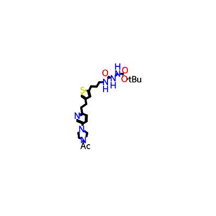 CC(=O)N1CCN(c2ccc(CCc3csc(CCCNC(=O)NNC(=O)OC(C)(C)C)c3)nc2)CC1